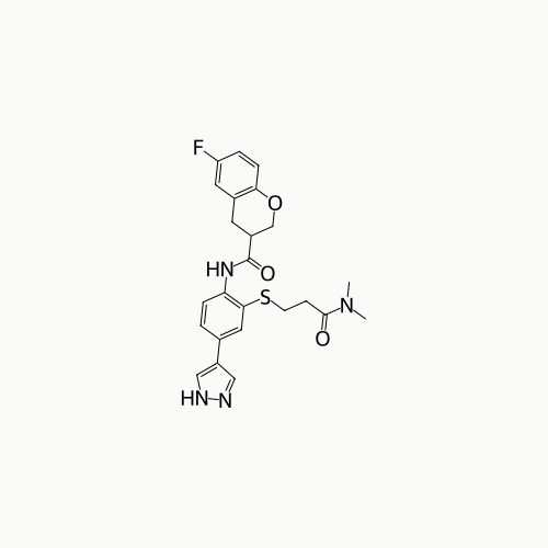 CN(C)C(=O)CCSc1cc(-c2cn[nH]c2)ccc1NC(=O)C1COc2ccc(F)cc2C1